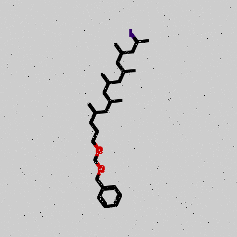 CC(I)CC(C)CC(C)CC(C)CC(C)CC(C)CCCOCOCc1ccccc1